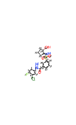 O=C(Nc1ccc(F)c(Cl)c1)c1cccc(S(=O)(=O)NC2CCCC2O)c1